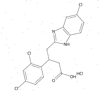 Cl.O=C(O)CC(Cc1nc2cc(Cl)ccc2[nH]1)c1ccc(Cl)cc1Cl